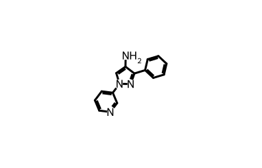 Nc1cn(-c2cccnc2)nc1-c1ccccc1